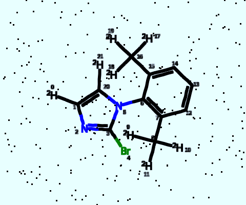 [2H]c1nc(Br)n(-c2c(C([2H])([2H])[2H])cccc2C([2H])([2H])[2H])c1[2H]